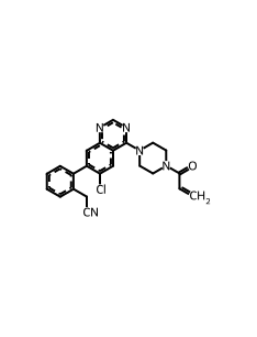 C=CC(=O)N1CCN(c2ncnc3cc(-c4ccccc4CC#N)c(Cl)cc23)CC1